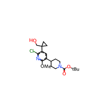 COc1nc(Cl)c(C2(CO)CC2)cc1C1CCN(C(=O)OC(C)(C)C)CC1